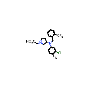 N#Cc1ccc(N(Cc2ccccc2C(F)(F)F)[C@H]2CCN(CC(=O)O)C2)cc1Cl